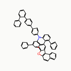 c1ccc(-c2cccc(N(c3ccc(-c4ccc(-c5ccccc5-c5ccccc5)cc4)cc3)c3cccc(-c4ccccc4)c3-c3ccc4oc5ccc6ccccc6c5c4c3)c2)cc1